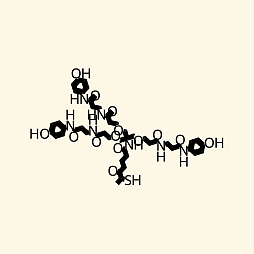 CC(S)C(=O)CCCC(=O)NC(COCCC(=O)NCCC(=O)Nc1ccc(O)cc1)(COCCC(=O)NCCC(=O)Nc1ccc(O)cc1)COCCC(=O)NCCC(=O)Nc1ccc(O)cc1